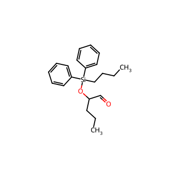 CCCC[Si](OC(C=O)CCC)(c1ccccc1)c1ccccc1